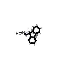 O/N=C/C1(O)c2ccccc2-c2ccccc21